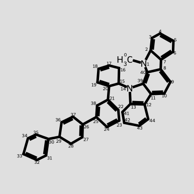 Cn1c2ccccc2c2ccc3c4c(n(C5CC=CC=C5c5cccc(C6=CCC(c7ccccc7)C=C6)c5)c3c21)CCC=C4